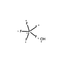 Cl.FP(F)(F)(F)F